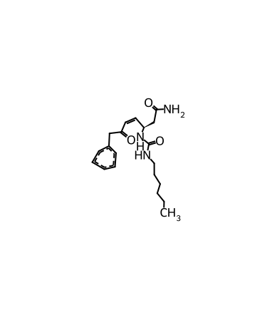 CCCCCCNC(=O)N[C@@H](/C=C\C(=O)Cc1ccccc1)CC(N)=O